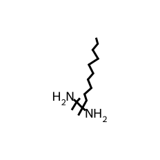 CCCCCCCCCCC(C)(N)C(C)(C)N